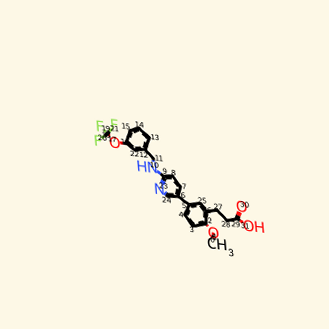 COc1ccc(-c2ccc(NCc3cccc(OC(F)(F)F)c3)nc2)cc1CCC(=O)O